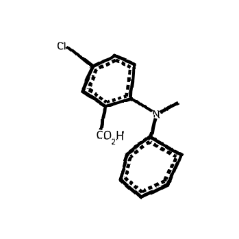 CN(c1ccccc1)c1ccc(Cl)cc1C(=O)O